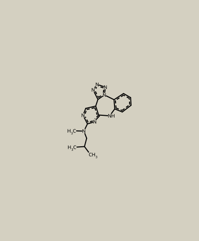 CC(C)CN(C)c1ncc2c(n1)Nc1ccccc1-n1nnnc1-2